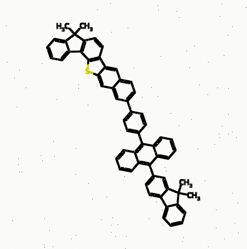 CC1(C)c2ccccc2-c2ccc(-c3c4ccccc4c(-c4ccc(-c5ccc6cc7c(cc6c5)sc5c6c(ccc57)C(C)(C)c5ccccc5-6)cc4)c4ccccc34)cc21